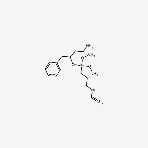 C=CNCCC[Si](OC)(OC)OC(CCN)Cc1ccccc1